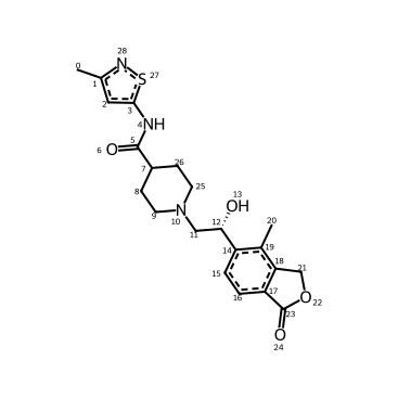 Cc1cc(NC(=O)C2CCN(C[C@H](O)c3ccc4c(c3C)COC4=O)CC2)sn1